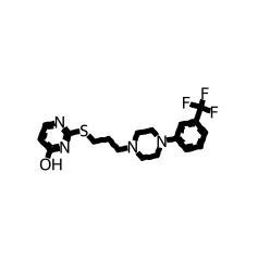 Oc1ccnc(SCCCN2CCN(c3cccc(C(F)(F)F)c3)CC2)n1